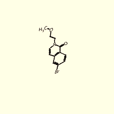 COCCn1ccc2cc(Br)ccc2c1=O